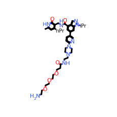 CCCc1cc(C)[nH]c(=O)c1CNC(=O)c1cc(-c2ccc(N3CCN(CCNC(=O)CCOCCOCCOCCN)CC3)nc2)cc2c1cnn2C(C)C